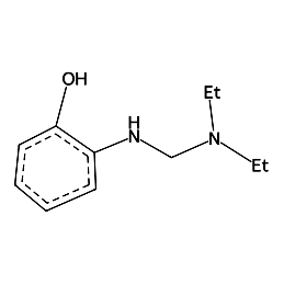 CCN(CC)CNc1ccccc1O